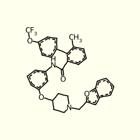 Cc1cccc(C(=O)Nc2cccc(OC3CCN(Cc4cc5ccccc5o4)CC3)c2)c1-c1ccc(OC(F)(F)F)cc1